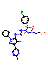 COCCN1C[C@@H](NC(=O)Nc2c(C)c(-c3cnc(C)nc3)nn2-c2ccccc2)[C@H](c2ccc(F)cc2)O1